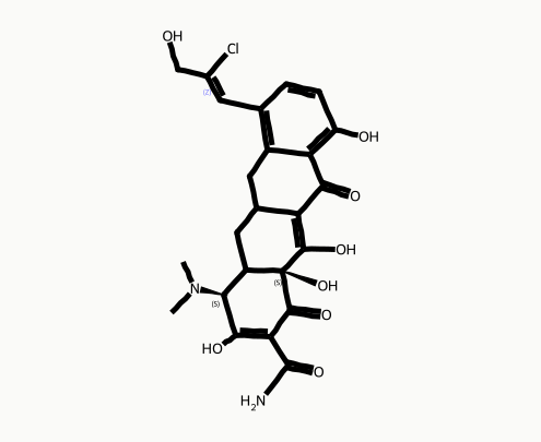 CN(C)[C@@H]1C(O)=C(C(N)=O)C(=O)[C@@]2(O)C(O)=C3C(=O)c4c(O)ccc(/C=C(\Cl)CO)c4CC3CC12